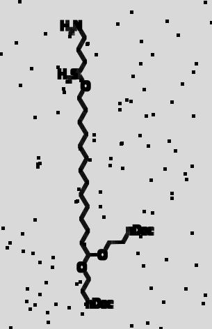 CCCCCCCCCCCCOC(CCCCCCCCCCCCCO[SiH2]CCCN)OCCCCCCCCCCCC